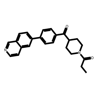 CCC(=O)N1CCC(C(=O)c2ccc(-c3ccc4cnccc4c3)cc2)CC1